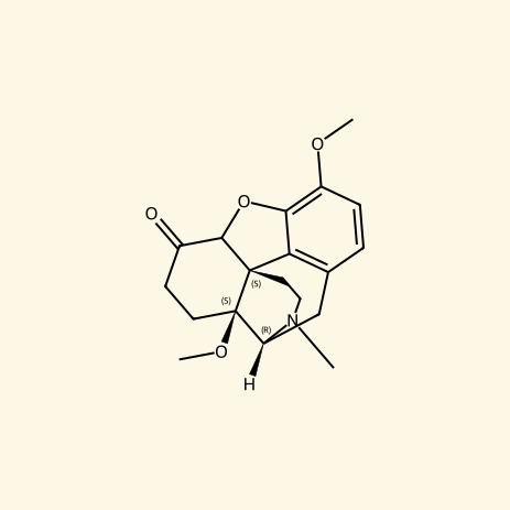 COc1ccc2c3c1OC1C(=O)CC[C@@]4(OC)[C@@H](C2)N(C)CC[C@]314